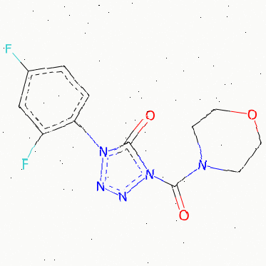 O=C(N1CCOCC1)n1nnn(-c2ccc(F)cc2F)c1=O